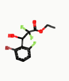 CCOC(=O)C(F)(F)C(O)c1c(F)cccc1Br